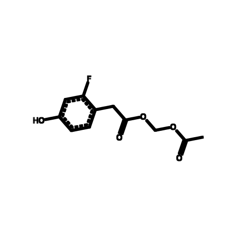 CC(=O)OCOC(=O)Cc1ccc(O)cc1F